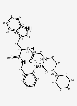 COc1ccccc1CNC(=O)C(Cc1c[nH]c2ccccc12)NC(=O)CN1CCN(C2CCCCC2)CC1